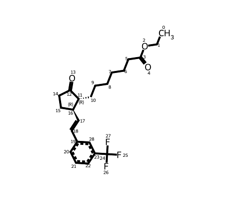 CCOC(=O)CCCCCC[C@H]1C(=O)CC[C@@H]1C=Cc1cccc(C(F)(F)F)c1